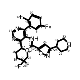 O=C(Nc1c(-c2cc(F)ccc2F)ncnc1C1CCC(F)(F)CO1)c1cc(C2CCOCC2)no1